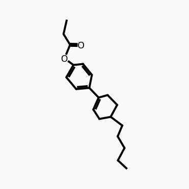 CCCCCC1CC=C(c2ccc(OC(=O)CC)cc2)CC1